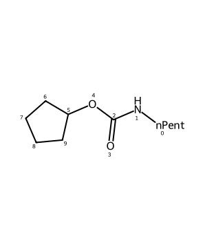 CCCCCNC(=O)OC1CCCC1